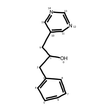 OC(Cc1ccccc1)Cc1cncnc1